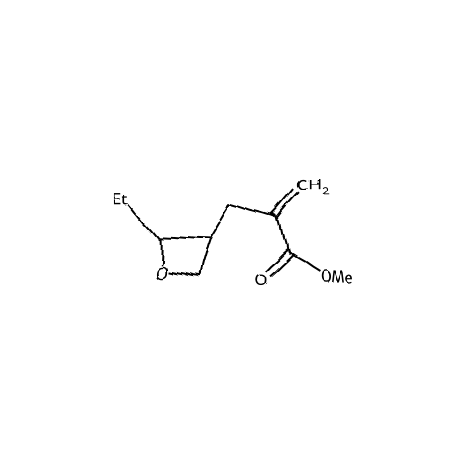 C=C(CC1COC1CC)C(=O)OC